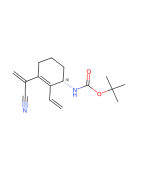 C=CC1=C(C(=C)C#N)CCC[C@@H]1NC(=O)OC(C)(C)C